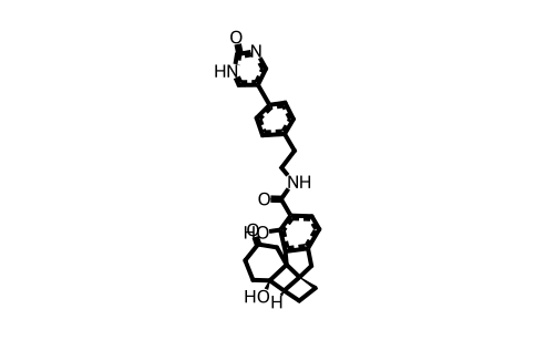 O=C1CC[C@@]2(O)[C@@H]3CC[C@@]34Cc3ccc(C(=O)NCCc5ccc(-c6cnc(=O)[nH]c6)cc5)c(O)c3C42C1